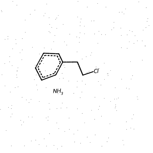 ClCCc1ccccc1.N